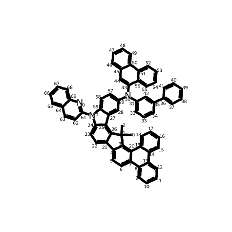 CC1(C)c2c(ccc3c4ccccc4c4ccccc4c23)-c2ccc3c(c21)c1cc(N(c2cccc(-c4ccccc4)c2)c2cc4ccccc4c4ccccc24)ccc1n3-c1ccc2ccccc2n1